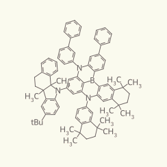 CC(C)(C)c1ccc2c(c1)C1(C)CCc3ccccc3C1(C)N2c1cc2c3c(c1)N(c1ccc4c(c1)C(C)(C)CCC4(C)C)c1cc4c(cc1B3c1ccc(-c3ccccc3)cc1N2c1cccc(-c2ccccc2)c1)C(C)(C)CCC4(C)C